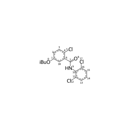 CC(C)COc1ccc(Cl)c(C(=O)Nc2c(Cl)cccc2Cl)c1